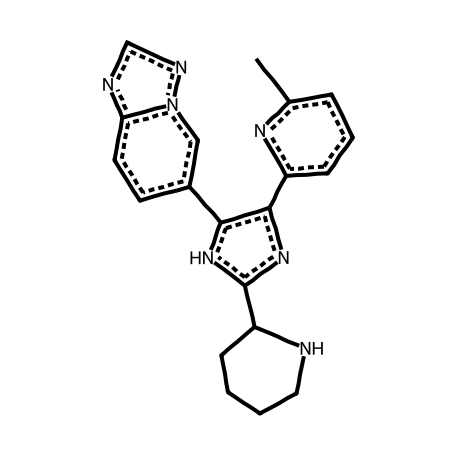 Cc1cccc(-c2nc(C3CCCCN3)[nH]c2-c2ccc3ncnn3c2)n1